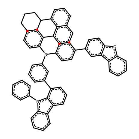 c1ccc(-n2c3ccccc3c3cccc(-c4cccc(N(c5ccc(-c6ccc7oc8ccccc8c7c6)cc5)c5ccccc5-c5cccc6cccc(C7CCCCC7)c56)c4)c32)cc1